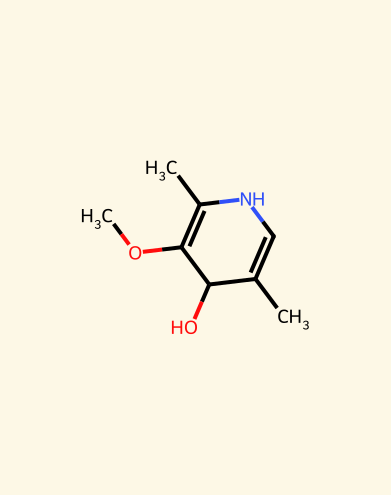 COC1=C(C)NC=C(C)C1O